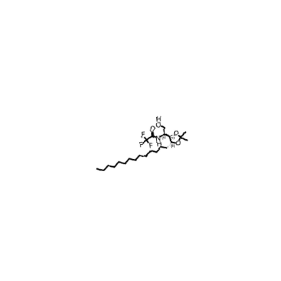 CCCCCCCCCCCCCC[C@H]1OC(C)(C)O[C@H]1[C@H](CO)NC(=O)C(F)(F)F